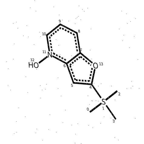 CS(C)(C)c1cc2c(ccc[n+]2O)o1